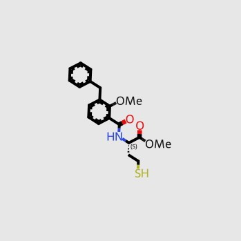 COC(=O)[C@H](CCS)NC(=O)c1cccc(Cc2ccccc2)c1OC